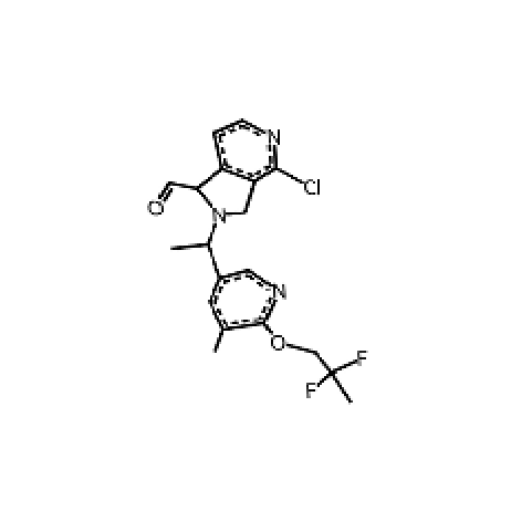 Cc1cc(C(C)N2Cc3c(ccnc3Cl)C2C=O)cnc1OCC(C)(F)F